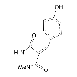 CNC(=O)C(=Cc1ccc(O)cc1)C(N)=O